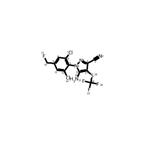 N#Cc1nn(-c2c(Cl)cc(CF)cc2Cl)c(N)c1SC(F)(F)F